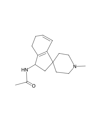 CC(=O)NC1CC2(CCN(C)CC2)C2=C1CCC=C2